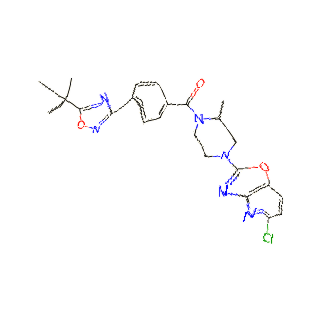 CC1CN(c2nc3nc(Cl)ccc3o2)CCN1C(=O)c1ccc(-c2noc(C(C)(C)C)n2)cc1